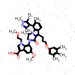 COCCn1cc(C(=O)O)c2cc(OC)cc(N3C[C@@H](C)n4c(c(CCCOc5cc(C)c(C)c(C)c5)c5ccc(C)c(-c6c(C)nn(C)c6C)c54)C3=O)c21